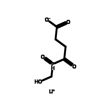 O=C([O-])CCC(=O)[PH](=O)CO.[Li+]